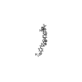 COc1ccc(COCC(OC(=O)N2CCC3(CC2)CC(NS(=O)(=O)C2CC2)CO3)C(F)(F)F)cc1